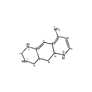 NC1=C2C=C3NCNCC3CC2NC=C1